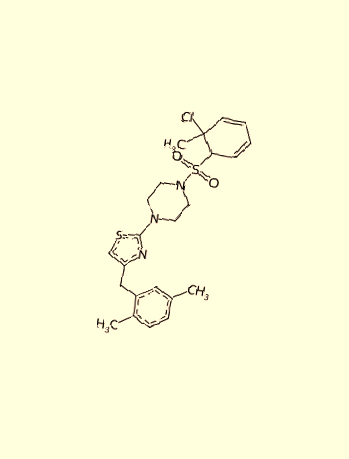 Cc1ccc(C)c(Cc2csc(N3CCN(S(=O)(=O)C4C=CC=CC4(C)Cl)CC3)n2)c1